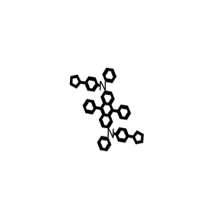 c1ccc(-c2c3ccc(N(c4ccccc4)c4ccc(C5CCCC5)cc4)cc3c(-c3ccccc3)c3ccc(N(c4ccccc4)c4ccc(C5CCCC5)cc4)cc23)cc1